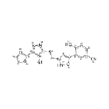 CCn1c(SCN2C=C(c3cc(C#N)ccc3O)ON2)nnc1-c1ccco1